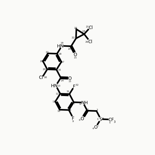 O=C(C[S+]([O-])C(F)(F)F)Nc1c(F)ccc(NC(=O)c2cc(NC(=O)C3CC3(Cl)Cl)ccc2Cl)c1F